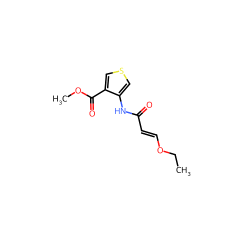 CCOC=CC(=O)Nc1cscc1C(=O)OC